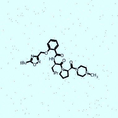 CC(C)C[C@@H](NC(=O)c1ccccc1OCc1noc(C(C)(C)C)n1)C(=O)N1CCC[C@@H]1C(=O)N1CCN(C)CC1